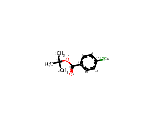 CC(C)(C)OC(=O)c1ccc([18F])cc1